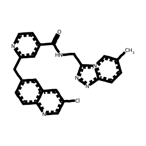 Cc1ccc2nnc(CNC(=O)c3ccnc(Cc4ccc5ncc(Cl)cc5c4)c3)n2c1